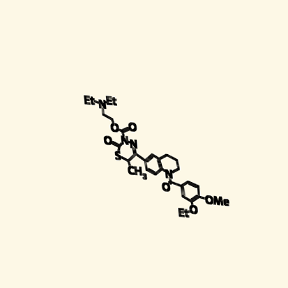 CCOc1cc(C(=O)N2CCCc3cc(C4=NN(C(=O)OCCN(CC)CC)C(=O)SC4C)ccc32)ccc1OC